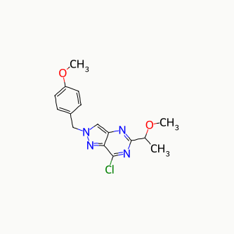 COc1ccc(Cn2cc3nc(C(C)OC)nc(Cl)c3n2)cc1